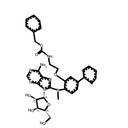 CN(c1ccc(-c2ccccc2)cc1OCCNC(=O)OCc1ccccc1)c1nc2c(N)ncnc2n1[C@@H]1O[C@H](CO)[C@@H](O)[C@H]1O